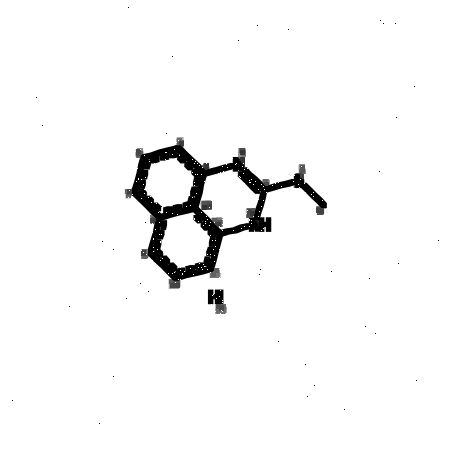 CSC1=Nc2cccc3cccc(c23)N1.I